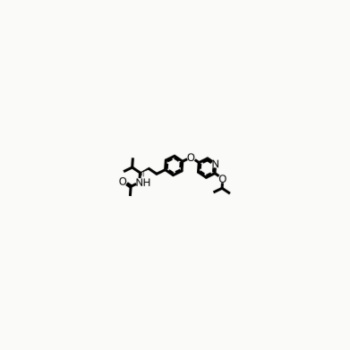 CC(=O)N[C@H](CCc1ccc(Oc2ccc(OC(C)C)nc2)cc1)C(C)C